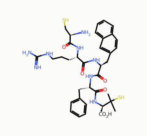 CC(C)(S)[C@H](NC(=O)[C@H](Cc1ccccc1)NC(=O)[C@H](Cc1ccc2ccccc2c1)NC(=O)[C@H](CCCNC(=N)N)NC(=O)[C@H](N)CS)C(=O)O